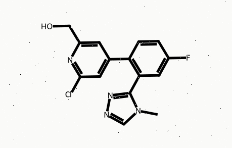 Cn1cnnc1-c1cc(F)ccc1-c1cc(Cl)nc(CO)c1